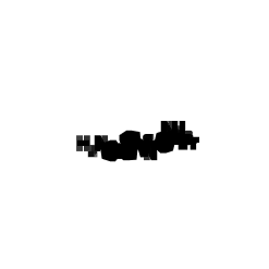 CC(C)Oc1ccc(-c2ncc(-c3cccc4c3CCC4N3CC[C@H](N)C3)s2)cc1N